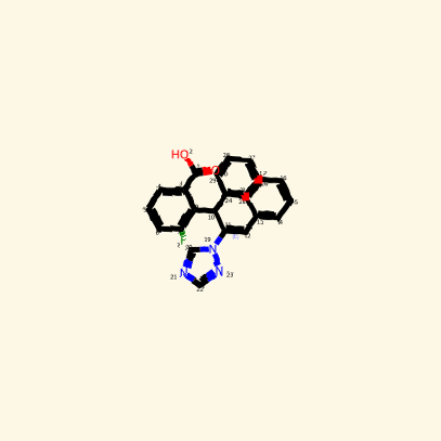 O=C(O)c1cccc(F)c1C(/C(=C\c1ccccc1)n1cncn1)c1ccccc1